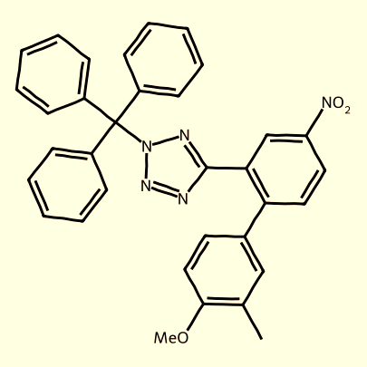 COc1ccc(-c2ccc([N+](=O)[O-])cc2-c2nnn(C(c3ccccc3)(c3ccccc3)c3ccccc3)n2)cc1C